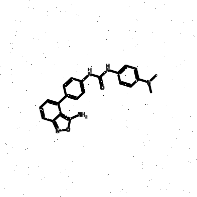 CN(C)c1ccc(NC(=O)Nc2ccc(-c3cccc4noc(N)c34)cc2)cc1